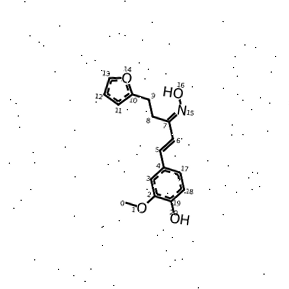 COc1cc(/C=C/C(CCc2ccco2)=N/O)ccc1O